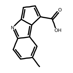 Cc1ccc2c(c1)=C1C(=CC=C1C(=O)O)N=2